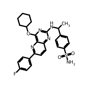 CC(Nc1nc(OC2CCCCC2)c2nc(-c3ccc(F)cc3)ccc2n1)c1ccc(S(N)(=O)=O)cc1